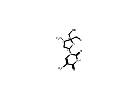 Cc1cn([C@H]2C[C@H](N)[C@](CO)(CCl)O2)c(=O)[nH]c1=O